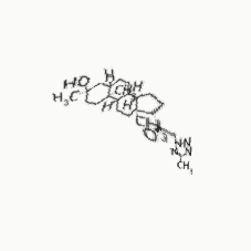 Cc1nnn(CC(=O)[C@H]2CC[C@H]3[C@@H]4CC[C@H]5C[C@](C)(O)CC[C@]5(C)[C@H]4CC[C@]23C)n1